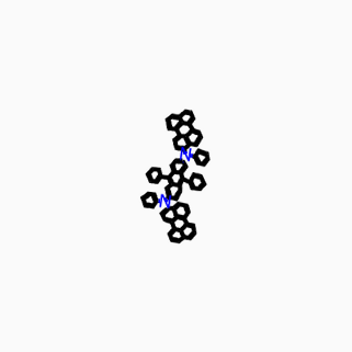 C1=CCCC(c2c3cc(N(c4ccccc4)c4ccc5c6c(cccc46)C4=CC=CC6C=CC=C5C46)ccc3c(-c3ccccc3)c3cc(N(c4ccccc4)c4ccc5c6cccc7cccc(c8cccc4c85)c76)ccc23)=C1